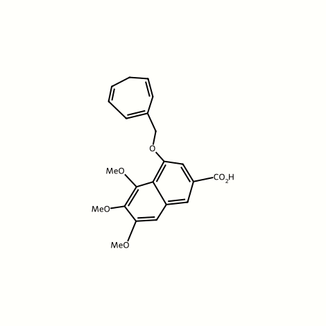 COc1cc2cc(C(=O)O)cc(OCC3=CC=CCC=C3)c2c(OC)c1OC